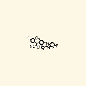 C/C(C#N)=C1\c2ccc(Cn3c(C4=CC=C4)nc4nc(F)ccc43)cc2COc2cc(F)ccc21